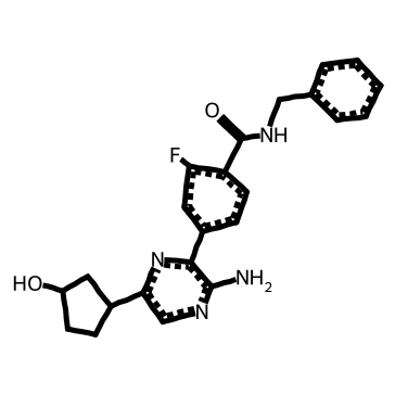 Nc1ncc(C2CCC(O)C2)nc1-c1ccc(C(=O)NCc2ccccc2)c(F)c1